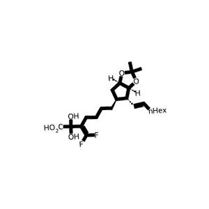 CCCCCCC=C[C@@H]1[C@@H](CCCCC(=C(F)F)C(O)(O)C(=O)O)C[C@H]2OC(C)(C)O[C@@H]12